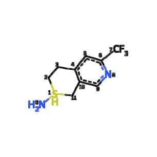 N[SH]1CCc2cc(C(F)(F)F)ncc2C1